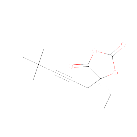 CC[C@@]1(CC#CC(C)(C)C)OC(=O)OC1=O